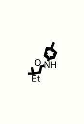 CCC(C)(C)CC(=O)Nc1ccc(C)cc1